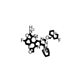 CCc1c(N)oc2c(F)cc(F)c(-c3c(C4COC4)nc4c(N5CC6CCC(C5)N6)nc(OC[C@@]56CCCN5C[C@H](F)C6)nc4c3F)c12